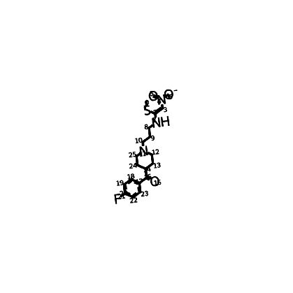 CSC(=C[N+](=O)[O-])NCCCN1CCC(C(=O)c2ccc(F)cc2)CC1